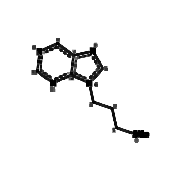 CSCCCn1cnc2cncnc21